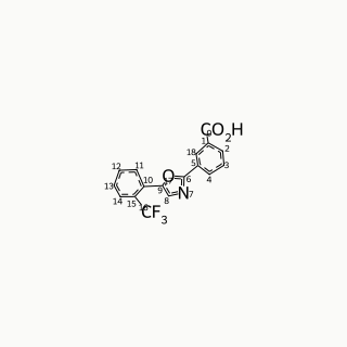 O=C(O)c1cccc(-c2ncc(-c3ccccc3C(F)(F)F)o2)c1